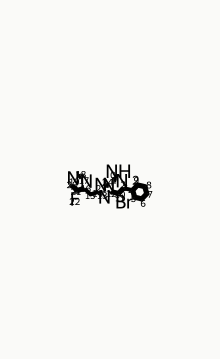 Nc1nc(-c2ccccc2)c(Br)c2nc(Cc3ncncc3F)nn12